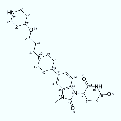 Cn1c(=O)n(C2CCC(=O)NC2=O)c2ccc(C3CCN(CCCOC4CCNCC4)CC3)cc21